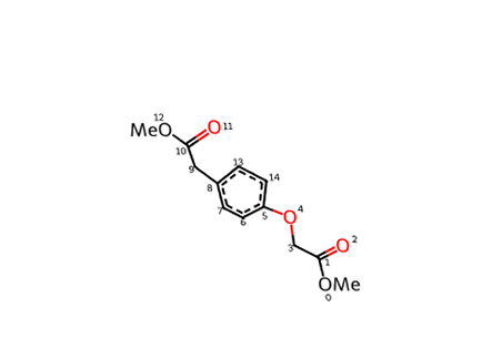 COC(=O)COc1ccc(CC(=O)OC)cc1